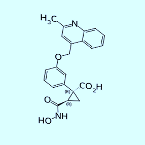 Cc1cc(COc2cccc([C@@]3(C(=O)O)C[C@H]3C(=O)NO)c2)c2ccccc2n1